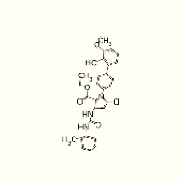 CCOC(=O)c1c(NC(=O)Nc2ccccc2C)cc(Cl)n1-c1ccc(-c2cccc(OC)c2O)cc1